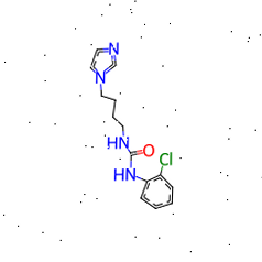 O=C(NCCCCn1ccnc1)Nc1ccccc1Cl